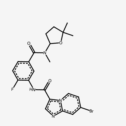 CN(C(=O)c1ccc(F)c(NC(=O)c2cnc3cc(Br)ccn23)c1)C1CCC(C)(C)O1